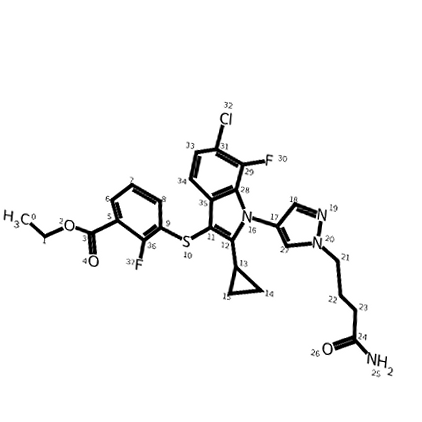 CCOC(=O)c1cccc(Sc2c(C3CC3)n(-c3cnn(CCCC(N)=O)c3)c3c(F)c(Cl)ccc23)c1F